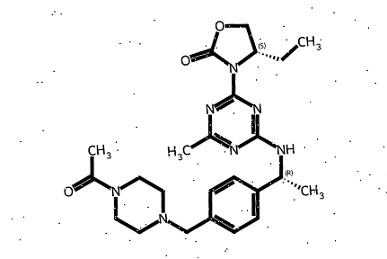 CC[C@H]1COC(=O)N1c1nc(C)nc(N[C@H](C)c2ccc(CN3CCN(C(C)=O)CC3)cc2)n1